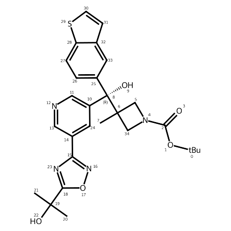 CC(C)(C)OC(=O)N1CC(C)([C@@](O)(c2cncc(-c3noc(C(C)(C)O)n3)c2)c2ccc3sccc3c2)C1